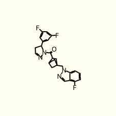 O=C(C1CC2(Cn3ncc4c(F)cccc43)CC1C2)N1N=CCC1c1cc(F)cc(F)c1